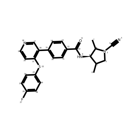 CC1CN(C#N)C(C)[C@@H]1NC(=O)c1ccc(-c2cnccc2Sc2ccc(F)cc2)cc1